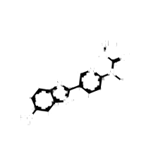 CN(C(=O)OC(C)(C)C)c1ccc(-c2nc3ccc(O)cc3s2)cn1